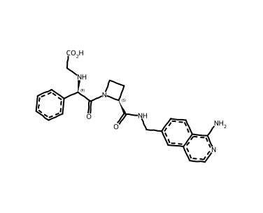 Nc1nccc2cc(CNC(=O)[C@@H]3CCN3C(=O)[C@H](NCC(=O)O)c3ccccc3)ccc12